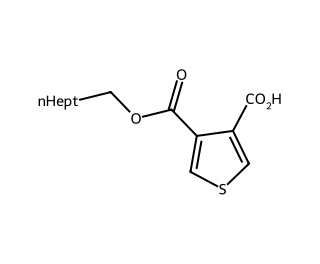 CCCCCCCCOC(=O)c1cscc1C(=O)O